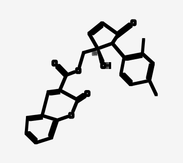 Cc1ccc(C2C(=O)C=C[C@@]2(O)COC(=O)c2cc3ccccc3oc2=O)c(C)c1